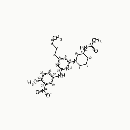 CCCCc1cc(N2CCCC(NC(C)=O)C2)nc(Nc2ccc(C)c([N+](=O)[O-])c2)n1